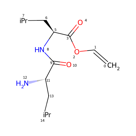 C=COC(=O)[C@H](CC(C)C)NC(=O)[C@@H](N)CC(C)C